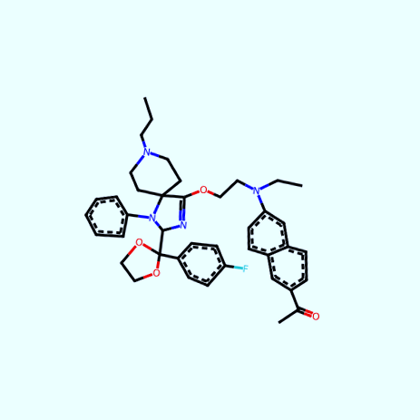 CCCN1CCC2(CC1)C(OCCN(CC)c1ccc3cc(C(C)=O)ccc3c1)=NC(C1(c3ccc(F)cc3)OCCO1)N2c1ccccc1